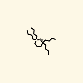 CCCC[C]1(CCCC)CCC[S](CCCC)(CCCC)[Sn]1